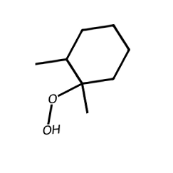 CC1CCCCC1(C)OO